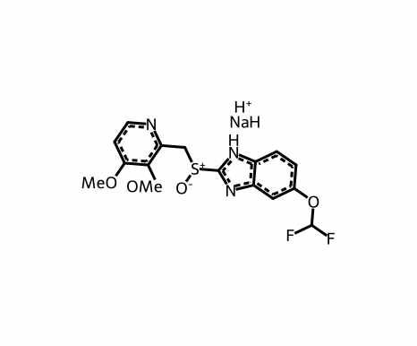 COc1ccnc(C[S+]([O-])c2nc3cc(OC(F)F)ccc3[nH]2)c1OC.[H+].[NaH]